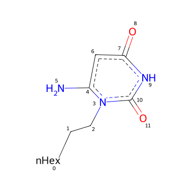 CCCCCCCCn1c(N)cc(=O)[nH]c1=O